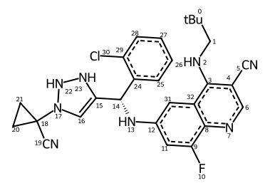 CC(C)(C)CNc1c(C#N)cnc2c(F)cc(N[C@H](C3=CN(C4(C#N)CC4)NN3)c3ccccc3Cl)cc12